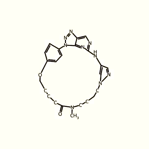 CN1CCCCn2cc(cn2)Nc2ncc3nnn(c3n2)-c2ccc(cc2)OCCCCC1=O